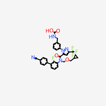 N#Cc1ccc(-c2cccc(N(COCC3CC3)C(=O)c3cc(C(F)(F)F)nn3-c3cccc(CNC(=O)O)c3)c2F)cc1